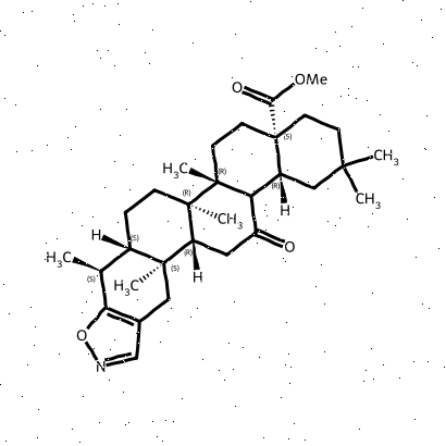 COC(=O)[C@]12CCC(C)(C)C[C@@H]1C1C(=O)C[C@@H]3[C@@]4(C)Cc5cnoc5[C@@H](C)[C@@H]4CC[C@@]3(C)[C@]1(C)CC2